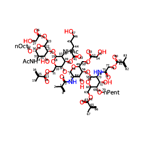 C=C(C)C(=O)NC1[C@H](O[C@@H]2C(COC(=O)C(=C)C)O[C@@H](O[C@@H]3C(COC(=O)CO)O[C@@H](OCCCCCCCC)C(NC(C)=O)[C@H]3O)C(NC(C)=O)[C@H]2OC(=O)CCCCO)OC(COC(=O)CO)[C@@H](O[C@@H]2OC(COC(=O)C(=C)C)[C@@H](OCCCCC)[C@H](O)C2NC(=O)COC(=O)C(=C)C)[C@@H]1O